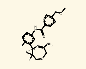 COCc1ccc(C(=O)Nc2ccc(F)c([C@@]3(C)N=C(N)COCC3(F)F)c2)nc1